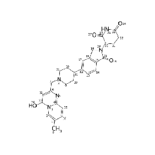 CC1=CN2C(=NC(CN3CCC(c4ccc5c(c4)CN(C4CCC(=O)NC4=O)C5=O)CC3)=CC2O)C=C1